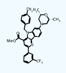 COC(=O)c1cc(-c2cccc(C(F)(F)F)c2)nc2c3ccc(N4C[C@@H](C)O[C@@H](C)C4)cc3n(Cc3ccc(C)cc3)c12